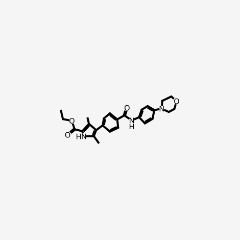 CCOC(=O)c1[nH]c(C)c(-c2ccc(C(=O)Nc3ccc(N4CCOCC4)cc3)cc2)c1C